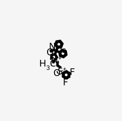 C[N+]1(CCC[S+]([O-])c2cc(F)cc(F)c2)CCC(C(C(N)=O)(c2ccccc2)c2ccccc2)C1